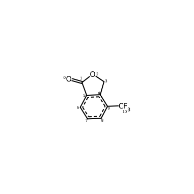 O=C1OCc2c1cccc2C(F)(F)F